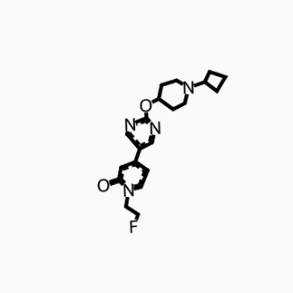 O=c1cc(-c2cnc(OC3CCN(C4CCC4)CC3)nc2)ccn1CCF